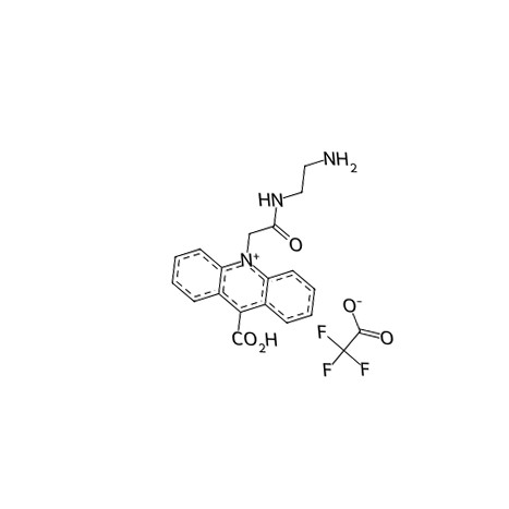 NCCNC(=O)C[n+]1c2ccccc2c(C(=O)O)c2ccccc21.O=C([O-])C(F)(F)F